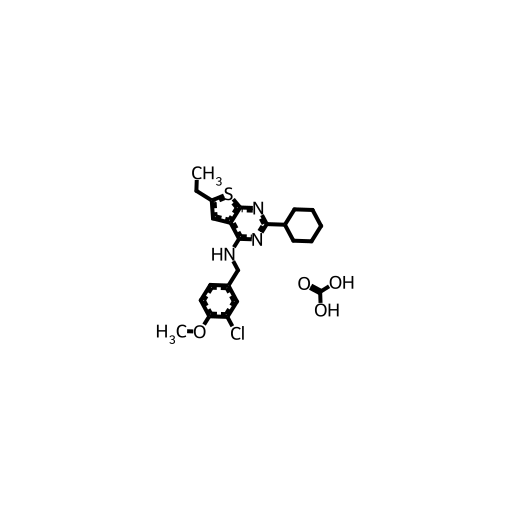 CCc1cc2c(NCc3ccc(OC)c(Cl)c3)nc(C3CCCCC3)nc2s1.O=C(O)O